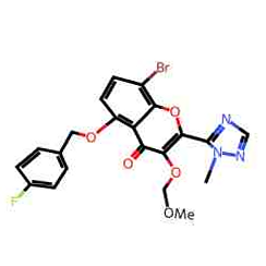 COCOc1c(-c2ncnn2C)oc2c(Br)ccc(OCc3ccc(F)cc3)c2c1=O